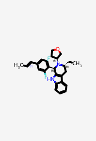 C/C=C/c1cc(F)c([C@@H]2c3[nH]c4ccccc4c3C[C@@H](CC)N2[C@@H]2CCOC2)c(F)c1